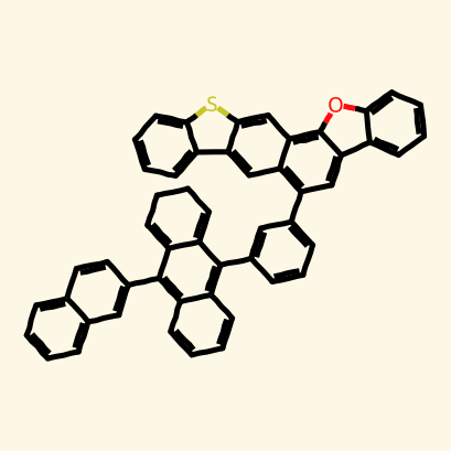 C1=c2c(-c3cccc(-c4cc5c6ccccc6oc5c5cc6sc7ccccc7c6cc45)c3)c3ccccc3c(-c3ccc4ccccc4c3)c2=CCC1